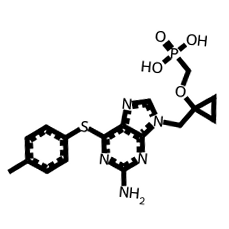 Cc1ccc(Sc2nc(N)nc3c2ncn3CC2(OCP(=O)(O)O)CC2)cc1